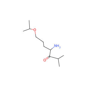 CC(C)OCCCC(N)C(=O)C(C)C